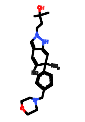 CC(C)(O)CCN1C=C2C=C([N+](=O)[O-])C(c3ccc(CN4CCOCC4)cc3)([N+](=O)[O-])C=C2N1